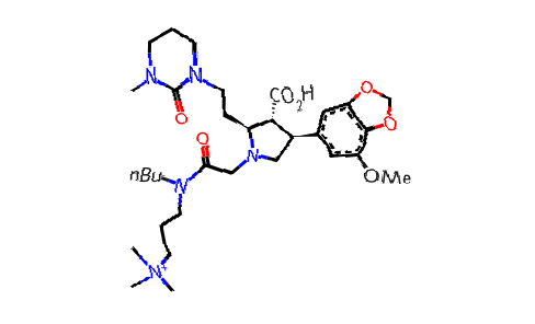 CCCCN(CCC[N+](C)(C)C)C(=O)CN1C[C@H](c2cc(OC)c3c(c2)OCO3)[C@@H](C(=O)O)[C@@H]1CCN1CCCN(C)C1=O